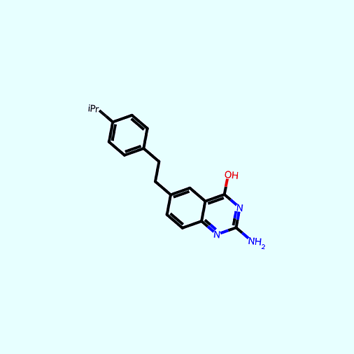 CC(C)c1ccc(CCc2ccc3nc(N)nc(O)c3c2)cc1